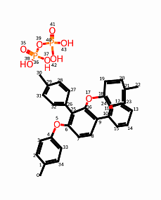 Cc1ccc(Oc2ccc(-c3ccccc3)c(Oc3ccc(C)cc3)c2-c2ccc(C)cc2)cc1.O=P(O)(O)OP(=O)(O)O